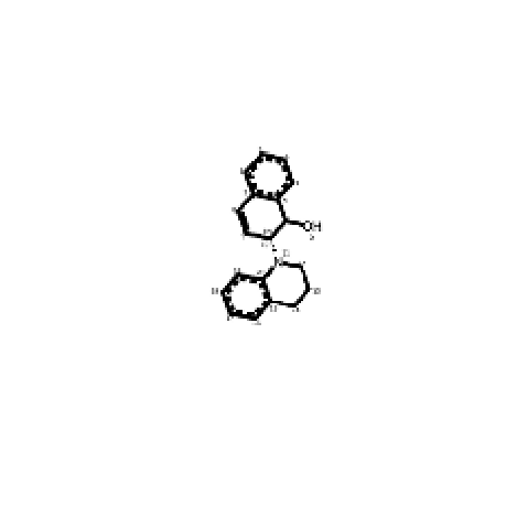 OC1c2ccccc2C=C[C@H]1N1CCCc2ccccc21